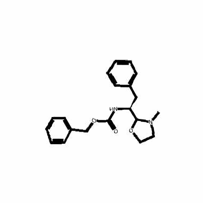 CN1CCOC1[C@H](Cc1ccccc1)NC(=O)OCc1ccccc1